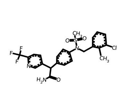 Cc1c(Cl)cccc1CN(c1ccc(C(C(N)=O)c2ccc(C(F)(F)F)nc2)cc1)S(C)(=O)=O